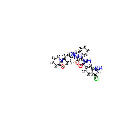 N#Cc1ccccc1C(NC(=O)c1ccc2c(Cl)c[nH]c2c1)C(=O)Nc1ccc(N2CCCCC2=O)cc1